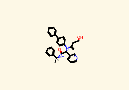 C=C(CCO)N(c1ccc(-c2ccccc2)cc1)C(C(=O)N[C@@H](C)c1ccccc1)c1cccnc1